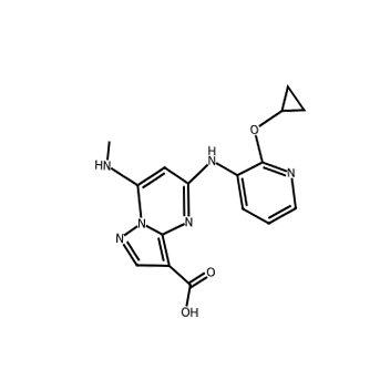 CNc1cc(Nc2cccnc2OC2CC2)nc2c(C(=O)O)cnn12